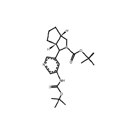 CC(C)(C)OC(=O)Nc1cncc(C2[C@@H]3CCC[C@@H]3CN2C(=O)OC(C)(C)C)c1